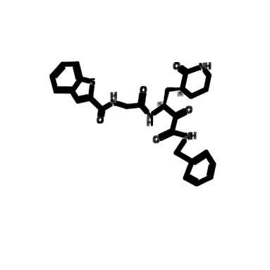 O=C(CNC(=O)c1cc2ccccc2s1)N[C@@H](C[C@@H]1CCCNC1=O)C(=O)C(=O)NCc1ccccc1